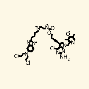 COc1c(C)cnc(Cn2cc(C#CCCOC(=O)N(C)CCN(C)CCCCc3nc4cc(N(CCCl)CCCl)ccc4n3C)c3c(Cl)nc(N)nc32)c1C